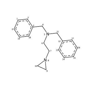 c1ccc(CN(CCN2CC2)Cc2ccccc2)cc1